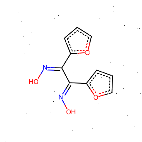 O/N=C(/C(=N\O)c1ccco1)c1ccco1